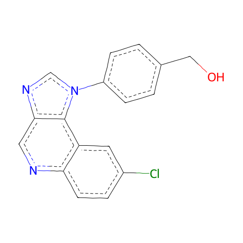 OCc1ccc(-n2cnc3cnc4ccc(Cl)cc4c32)cc1